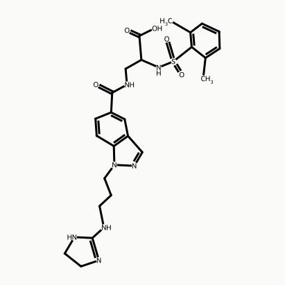 Cc1cccc(C)c1S(=O)(=O)NC(CNC(=O)c1ccc2c(cnn2CCCNC2=NCCN2)c1)C(=O)O